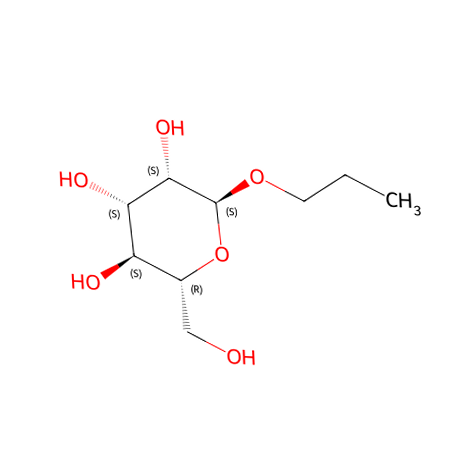 CCCO[C@H]1O[C@H](CO)[C@@H](O)[C@H](O)[C@@H]1O